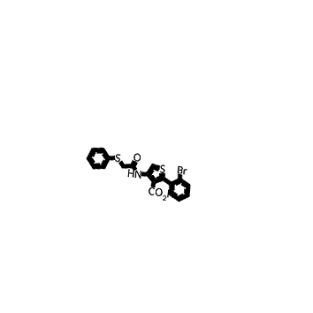 O=C(CSc1ccccc1)Nc1csc(-c2ccccc2Br)c1C(=O)O